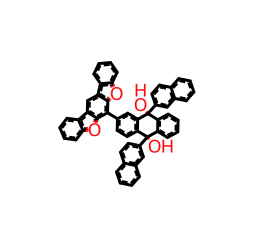 OC1(c2ccc3ccccc3c2)c2ccccc2C(O)(c2ccc3ccccc3c2)c2cc(-c3c4oc5ccccc5c4cc4c3oc3ccccc34)ccc21